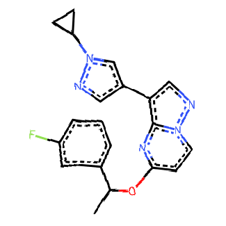 CC(Oc1ccn2ncc(-c3cnn(C4CC4)c3)c2n1)c1cccc(F)c1